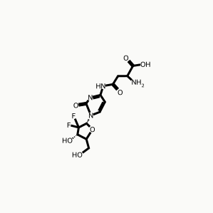 NC(CC(=O)Nc1ccn([C@@H]2OC(CO)[C@H](O)C2(F)F)c(=O)n1)C(=O)O